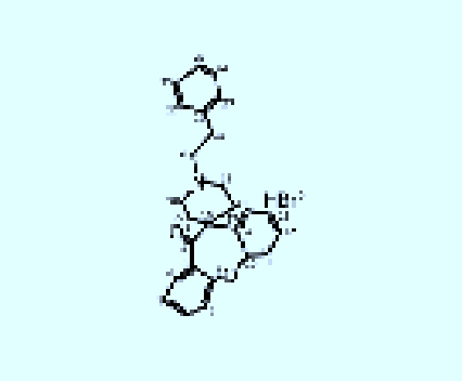 Br.O=C1c2ccccc2Oc2ccccc2C12CCN(CCc1ccccc1)CC2